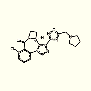 O=C1c2c(Cl)cccc2-n2cnc(-c3noc(CN4CCCC4)n3)c2[C@@H]2CCN12